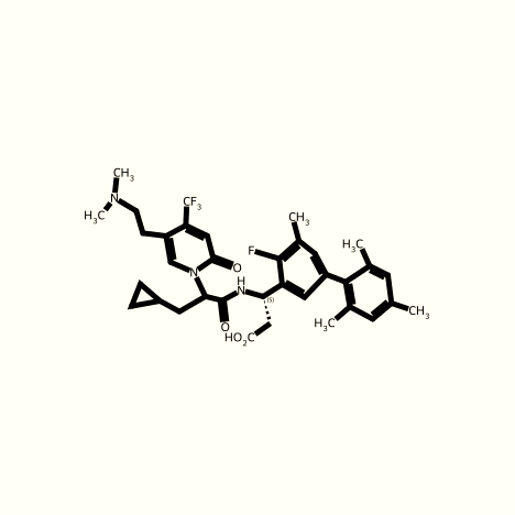 Cc1cc(C)c(-c2cc(C)c(F)c([C@H](CC(=O)O)NC(=O)C(CC3CC3)n3cc(CCN(C)C)c(C(F)(F)F)cc3=O)c2)c(C)c1